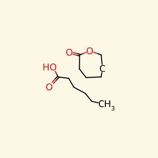 CCCCCC(=O)O.O=C1CCCCCO1